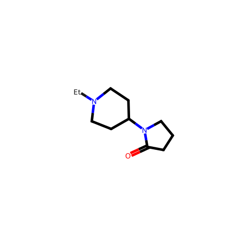 CCN1CCC(N2CCCC2=O)CC1